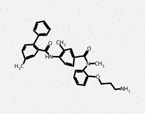 Cc1ccc(-c2ccccc2)c(C(=O)Nc2ccc(C(=O)N(C)c3ccccc3OCCCN)cc2C)c1